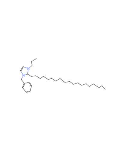 CCCCCCCCCCCCCCCCCCCC1N(CCC)C=CN1Cc1ccccc1